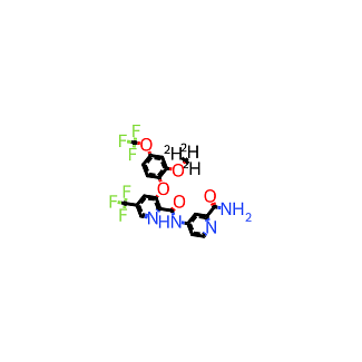 [2H]C([2H])([2H])Oc1cc(OC(F)(F)F)ccc1Oc1cc(C(F)(F)F)cnc1C(=O)Nc1ccnc(C(N)=O)c1